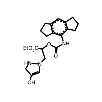 CCOC(=O)C(CN1C=C(O)CN1)OC(=O)Nc1c2c(cc3c1CCC3)CCC2